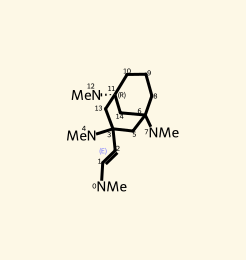 CN/C=C/C1(NC)CC2(NC)CCC[C@](NC)(C1)C2